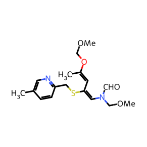 COCO/C(C)=C/C(=C\N(C=O)COC)SCc1ccc(C)cn1